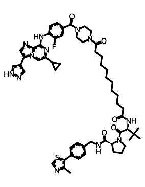 Cc1ncsc1-c1ccc(CNC(=O)[C@@H]2CCCN2C(=O)[C@@H](NC(=O)CCCCCCCCCCC(=O)N2CCN(C(=O)c3ccc(Nc4nc(C5CC5)cn5c(-c6cn[nH]c6)cnc45)c(F)c3)CC2)C(C)(C)C)cc1